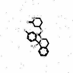 C[C@]1(c2ccc(F)cc2)c2ccccc2CCN1C(=O)OC1CCNC(=O)C1